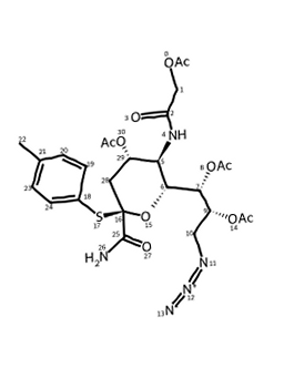 CC(=O)OCC(=O)N[C@H]1[C@H]([C@H](OC(C)=O)[C@@H](CN=[N+]=[N-])OC(C)=O)O[C@](Sc2ccc(C)cc2)(C(N)=O)C[C@@H]1OC(C)=O